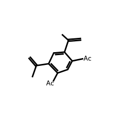 C=C(C)c1cc(C(=C)C)c(C(C)=O)cc1C(C)=O